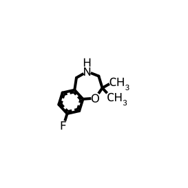 CC1(C)CNCc2ccc(F)cc2O1